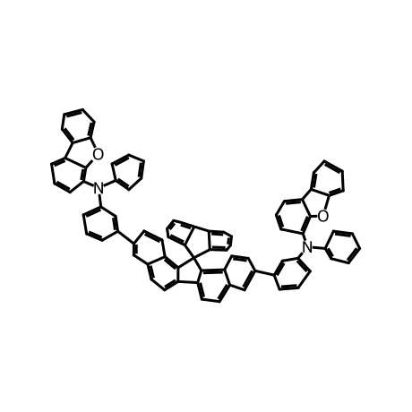 c1ccc(N(c2cccc(-c3ccc4c5c(ccc4c3)-c3ccc4cc(-c6cccc(N(c7ccccc7)c7cccc8c7oc7ccccc78)c6)ccc4c3C53c4ccccc4-c4ccccc43)c2)c2cccc3c2oc2ccccc23)cc1